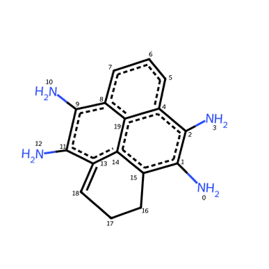 Nc1c(N)c2cccc3c(N)c(N)c4c(c1CCC=4)c23